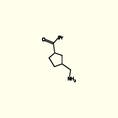 CC(C)C(=O)C1CCC(CN)C1